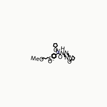 COCCC[S+]([O-])c1ccc(/C(=N\OC2CCCC2)C(=O)Nc2cnc(N3CCCC3=O)cn2)cc1